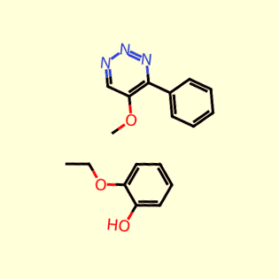 CCOc1ccccc1O.COc1cnnnc1-c1ccccc1